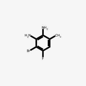 Cc1cc(F)c(Br)c(N)c1N